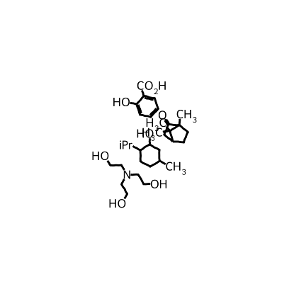 CC12CCC(CC1=O)C2(C)C.CC1CCC(C(C)C)C(O)C1.O=C(O)c1ccccc1O.OCCN(CCO)CCO